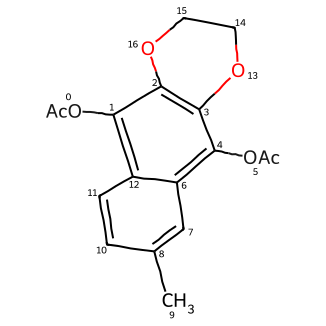 CC(=O)Oc1c2c(c(OC(C)=O)c3cc(C)ccc13)OCCO2